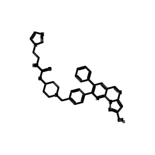 Cc1cc2ncc3cc(-c4ccccc4)c(-c4ccc(CN5CCC(OC(=O)NCCn6ccnc6)CC5)cc4)nc3n2n1